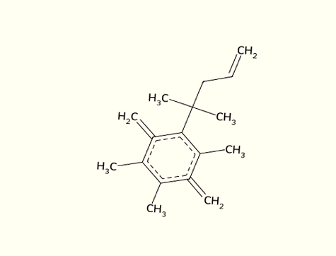 C=CCC(C)(C)c1c(C)c(=C)c(C)c(C)c1=C